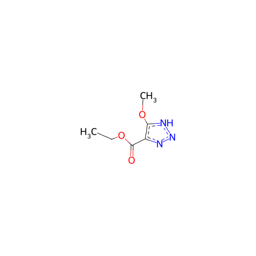 CCOC(=O)c1nn[nH]c1OC